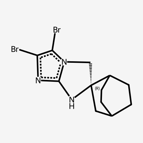 Brc1nc2n(c1Br)C[C@]1(CC3CCC1CC3)N2